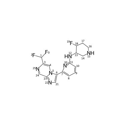 FC(F)c1cn2c(-c3cccc(NC4CNCCC4F)n3)cnc2cn1